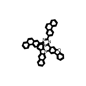 c1ccc2cc3c(cc2c1)c1ccccc1n3-c1cc2c(cc1-c1nc(-c3ccc4c(ccc5ccccc54)c3)nc(-c3ccc4c(ccc5ccccc54)c3)n1)oc1ccccc12